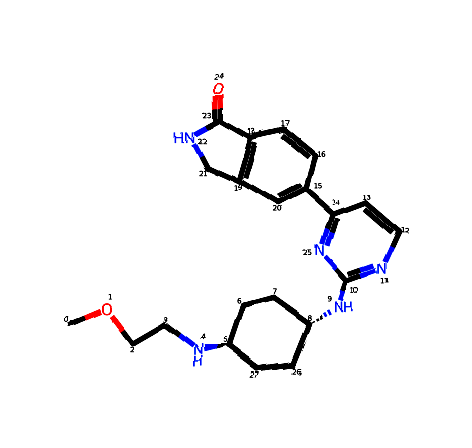 COCCN[C@H]1CC[C@H](Nc2nccc(-c3ccc4c(c3)CNC4=O)n2)CC1